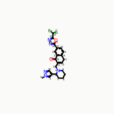 Cn1cc(C2CCCCN2CC2=CCc3ccc(-c4nnc(C(F)F)o4)cc3C2=O)cn1